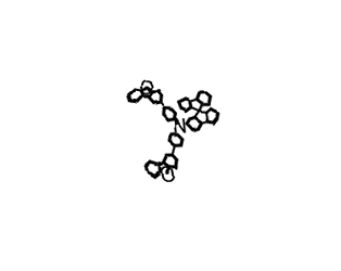 c1ccc2c(c1)-c1ccccc1C21c2ccccc2-c2ccc(N(c3ccc(-c4ccc5oc6ccccc6c5c4)cc3)c3ccc(-c4ccc5oc6ccccc6c5c4)cc3)cc21